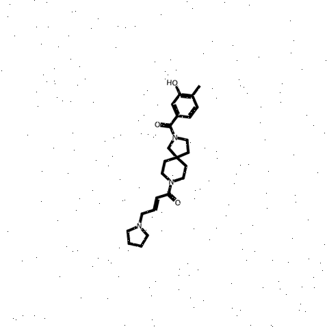 Cc1ccc(C(=O)N2CCC3(CCN(C(=O)C=CCN4CCCC4)CC3)C2)cc1O